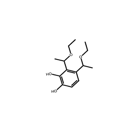 CCOC(C)c1ccc(O)c(O)c1C(C)OCC